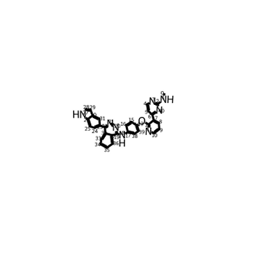 CNc1nccc(-c2cccnc2Oc2ccc(Nc3nnc(-c4ccc5[nH]ccc5c4)c4ccccc34)cc2)n1